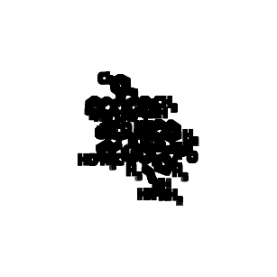 CC(=O)N[C@H](Cc1ccc2ccccc2c1)C(=O)N[C@H](Cc1ccc(Cl)cc1)C(=O)N[C@H](Cc1cccnc1)C(=O)N[C@@H](CO)C(=O)N[C@@H](Cc1ccc(O)cc1)C(=O)N(C(=N)N)[C@@H](CC(C)C)C(=O)N[C@@H](CCCNC(=N)N)C(=O)N1CCC[C@H]1C(=O)N[C@H](C)C(N)=O